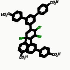 O=C(O)c1ccc(-c2cccc(C3=C(Br)C(Br)C(c4cc(-c5ccc(C(=O)O)cc5)cc(-c5ccc(C(=O)O)cc5)c4)=CC3(Br)c3ccc(C(=O)O)cc3)c2)cc1